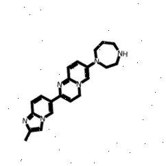 Cc1cn2cc(C3=CCN4C=C(N5CCCNCC5)C=CC4=N3)ccc2n1